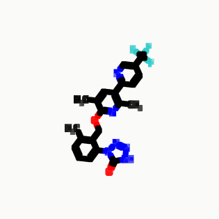 Cc1cc(-c2ccc(C(F)(F)F)cn2)c(C)nc1OCc1c(C)cccc1-n1nn[nH]c1=O